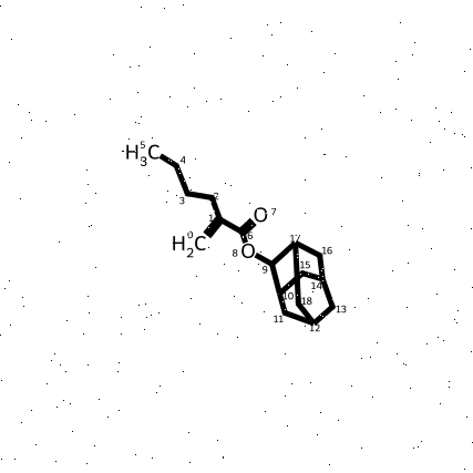 C=C(CCCC)C(=O)OC1C2CC3CC(C2)CC1C3